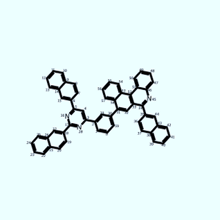 c1cc(-c2cc(-c3ccc4ccccc4c3)nc(-c3ccc4ccccc4c3)n2)cc(-c2cc3c(-c4ccc5ccccc5c4)nc4ccccc4c3c3ccccc23)c1